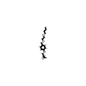 CCCCOCCOCc1ccc(OCC2CO2)cc1